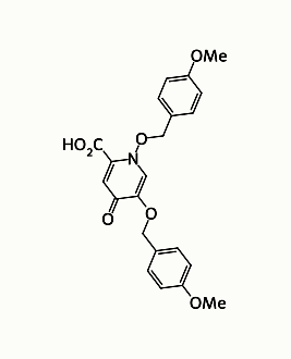 COc1ccc(COc2cn(OCc3ccc(OC)cc3)c(C(=O)O)cc2=O)cc1